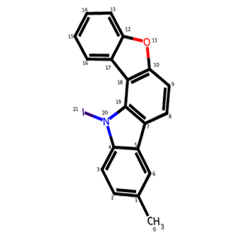 Cc1ccc2c(c1)c1ccc3oc4ccccc4c3c1n2I